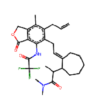 C=CCc1c(C)c2c(c(NC(=O)C(F)(F)F)c1CC=C1CCCCCC1C(C)C(=O)N(C)C)C(=O)OC2